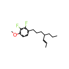 CC=CC(CCC)CCCc1ccc(OC)c(F)c1F